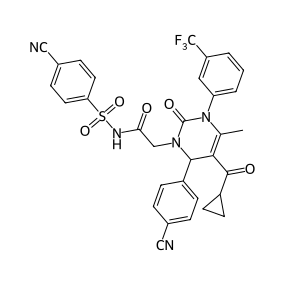 CC1=C(C(=O)C2CC2)C(c2ccc(C#N)cc2)N(CC(=O)NS(=O)(=O)c2ccc(C#N)cc2)C(=O)N1c1cccc(C(F)(F)F)c1